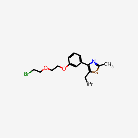 Cc1nc(-c2cccc(OCCOCCBr)c2)c(CC(C)C)s1